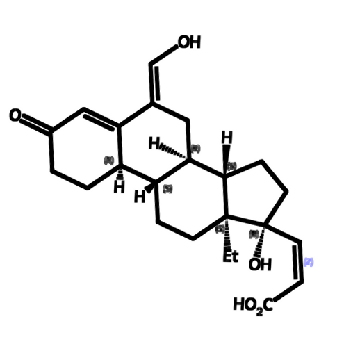 CC[C@]12CC[C@H]3[C@@H](CC(=CO)C4=CC(=O)CC[C@@H]43)[C@@H]1CC[C@@]2(O)/C=C\C(=O)O